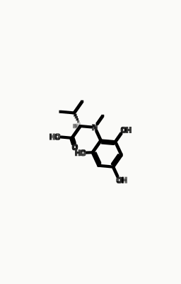 CC(C)[C@@H](C(=O)O)N(C)c1c(O)cc(O)cc1O